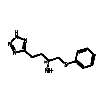 [NH][C@H](CCc1nn[nH]n1)CSc1ccccc1